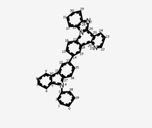 c1ccc(-n2c3ccccc3c3cc(-c4ccc5c(c4)c4ncccc4c4nc6ccccc6n54)ccc32)cc1